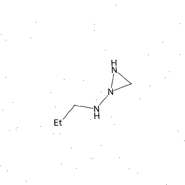 CCCNN1CN1